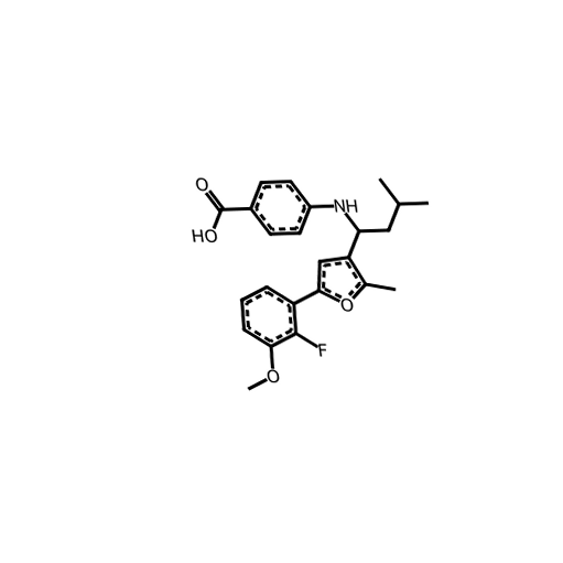 COc1cccc(-c2cc(C(CC(C)C)Nc3ccc(C(=O)O)cc3)c(C)o2)c1F